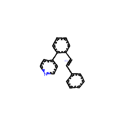 C(=C\c1ccccc1-c1ccncc1)/c1ccccc1